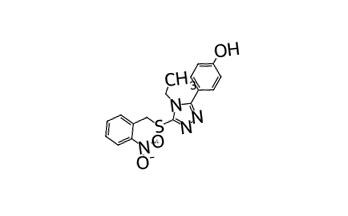 CCn1c(SCc2ccccc2[N+](=O)[O-])nnc1-c1ccc(O)cc1